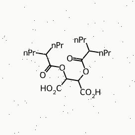 CCCC(CCC)C(=O)OC(C(=O)O)C(OC(=O)C(CCC)CCC)C(=O)O